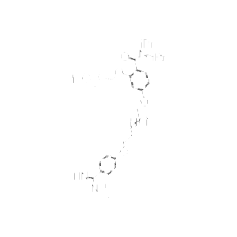 CC(C)N(C(=O)c1ccc(OCCCCCOc2ccc(C(=N)N)cc2)cc1OCC(=O)O)C(C)C.Cl